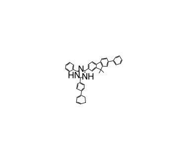 CC1(C)c2cc(-c3ccccc3)ccc2-c2ccc(C3N=C(c4ccccc4)NC(c4ccc(C5=CC=CCC5)cc4)N3)cc21